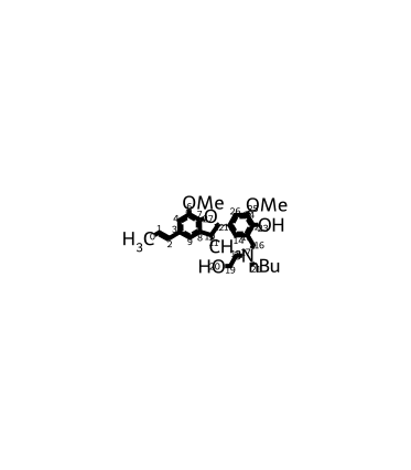 C/C=C/c1cc(OC)c2c(c1)[C@H](C)[C@@H](c1cc(CN(CCO)CCCC)c(O)c(OC)c1)O2